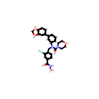 O=C(NO)c1ccc(CN(C(=O)N2CCOCC2)c2cccc(-c3ccc4c(c3)OCO4)c2)c(F)c1